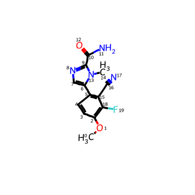 COc1ccc(-c2cnc(C(N)=O)n2C)c(C#N)c1F